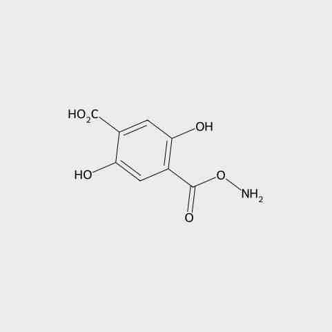 NOC(=O)c1cc(O)c(C(=O)O)cc1O